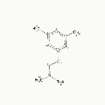 Cc1cc(C)cc(OC[C@@H](C)[NH])c1